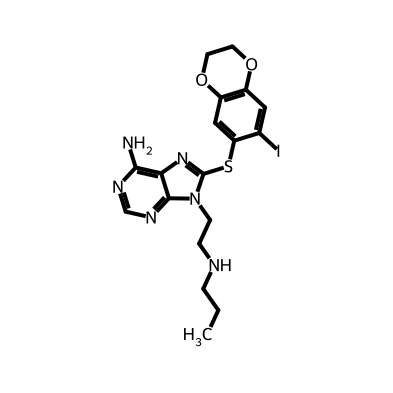 CCCNCCn1c(Sc2cc3c(cc2I)OCCO3)nc2c(N)ncnc21